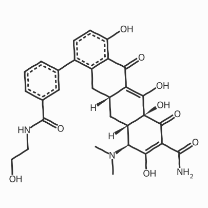 CN(C)[C@@H]1C(O)=C(C(N)=O)C(=O)[C@@]2(O)C(O)=C3C(=O)c4c(O)ccc(-c5cccc(C(=O)NCCO)c5)c4C[C@H]3C[C@@H]12